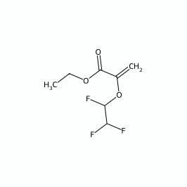 C=C(OC(F)C(F)F)C(=O)OCC